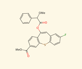 COC(=O)c1ccc2c(c1)Sc1ccc(F)cc1C=C2OC(=O)C(OC)c1ccccc1